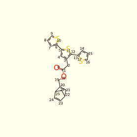 O=C(Cc1cc(-c2cccs2)sc1-c1cccs1)OCC1CC2C=CC1C2